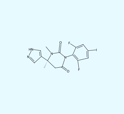 CN1C(=O)N(c2c(F)cc(I)cc2F)C(=O)C[C@@]1(C)c1cn[nH]c1